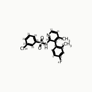 Cc1cc(F)ccc1-c1c(C)ccnc1NS(=O)(=O)c1cccc(Cl)c1